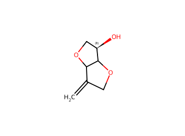 C=C1COC2C1OC[C@H]2O